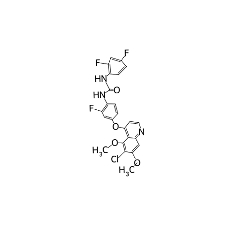 COc1cc2nccc(Oc3ccc(NC(=O)Nc4ccc(F)cc4F)c(F)c3)c2c(OC)c1Cl